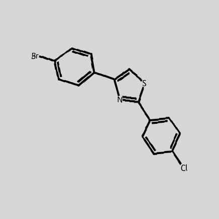 Clc1ccc(-c2nc(-c3ccc(Br)cc3)cs2)cc1